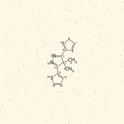 CC1(C)C(C2=[S+]CC=C2)=NN=C1c1cccs1